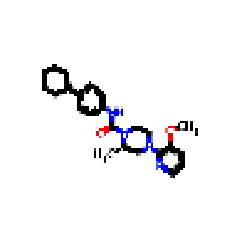 COc1cccnc1N1CCN(C(=O)Nc2ccc(C3CCCCC3)cc2)[C@H](C)C1